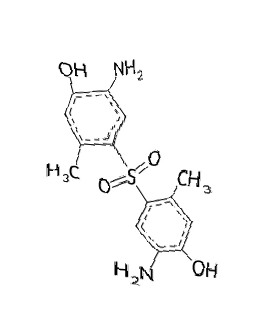 Cc1cc(O)c(N)cc1S(=O)(=O)c1cc(N)c(O)cc1C